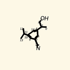 C[C](CO)c1cc(C#N)cc(C(C)C)c1